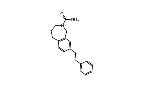 NC(=O)N1CCCc2ccc([CH]Cc3ccccc3)cc2C1